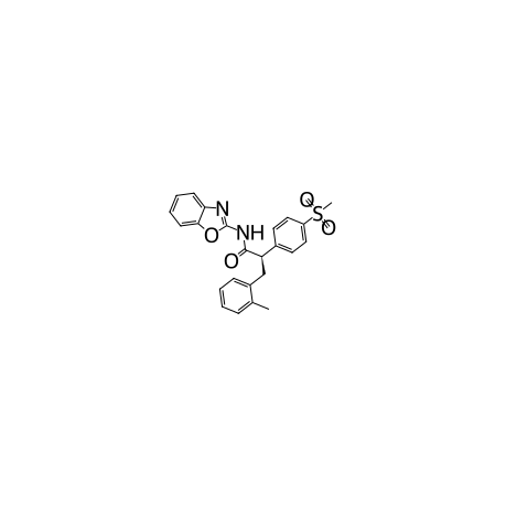 Cc1ccccc1C[C@@H](C(=O)Nc1nc2ccccc2o1)c1ccc(S(C)(=O)=O)cc1